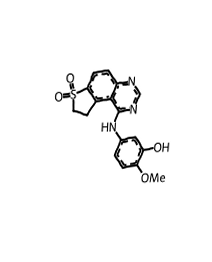 COc1ccc(Nc2ncnc3ccc4c(c23)CCS4(=O)=O)cc1O